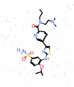 CCCN(CCN(C)C)C(=O)c1ccc(-c2csc(Nc3cc(S(N)(=O)=O)ccc3OC(C)C)n2)cn1